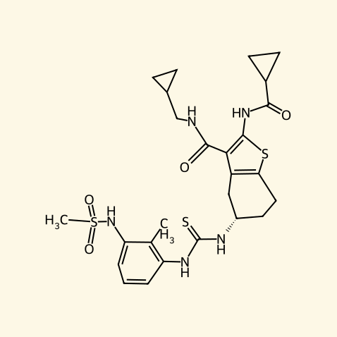 Cc1c(NC(=S)N[C@H]2CCc3sc(NC(=O)C4CC4)c(C(=O)NCC4CC4)c3C2)cccc1NS(C)(=O)=O